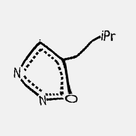 CC(C)c1[c]nno1